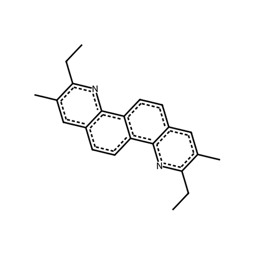 CCc1nc2c(ccc3c2ccc2cc(C)c(CC)nc23)cc1C